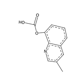 Cc1cnc2c(OC(=O)O)cccc2c1